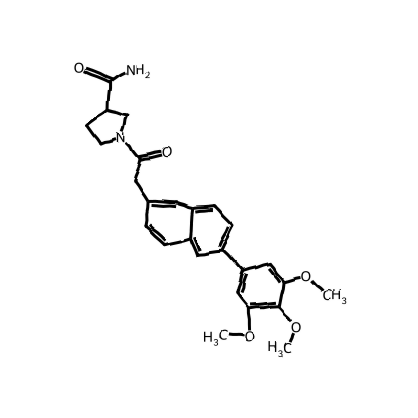 COc1cc(-c2ccc3cc(CC(=O)N4CCC(C(N)=O)C4)ccc3c2)cc(OC)c1OC